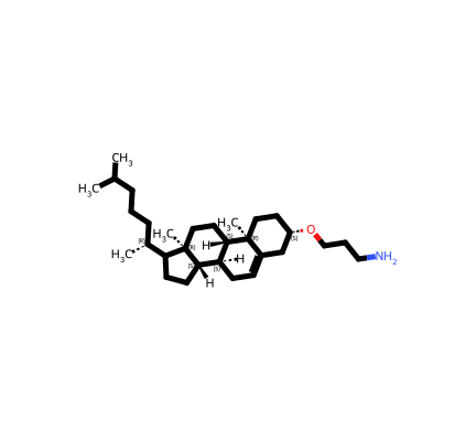 CC(C)CCC[C@@H](C)C1CC[C@H]2[C@@H]3CC=C4C[C@@H](OCCCN)CC[C@]4(C)[C@H]3CC[C@]12C